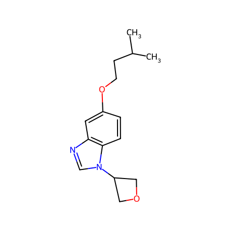 CC(C)CCOc1ccc2c(c1)ncn2C1COC1